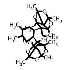 CC1C[C@@H](C2(CP)C3(C)CC4(C)OC(C)(CC2(C)O4)O3)[C@@H](C2(P)C3(C)CC4(C)OC(C)(CC2(C)O4)O3)CC1C